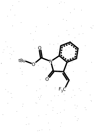 CC(C)(C)OC(=O)N1C(=O)C(=CC(F)(F)F)c2ccccc21